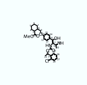 COC(=O)C1CCCCC1COc1ccc(/C(O)=C(\NC(=O)OC(C)c2ccccc2Cl)C(C)=N)cc1